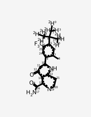 [2H]C([2H])([2H])C(c1cc(C)c(-c2cc(=O)c3c(C(N)=O)nccc3[nH]2)cc1C(F)(F)F)(C([2H])([2H])[2H])C([2H])([2H])[2H]